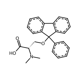 CN(C)[C@@H](COC1(c2ccccc2)c2ccccc2-c2ccccc21)C(=O)O